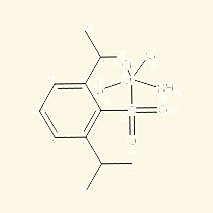 CC(C)c1cccc(C(C)C)c1[S](=O)(=O)[Cr]([NH2])([Cl])([Cl])[Cl]